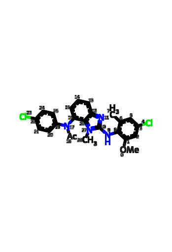 COc1cc(Cl)cc(C)c1Nc1nc2cccc(N(C(C)=O)c3ccc(Cl)cc3)c2n1C